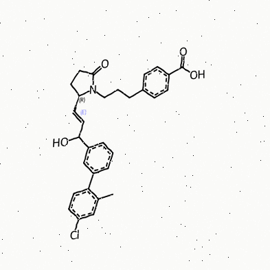 Cc1cc(Cl)ccc1-c1cccc(C(O)/C=C/[C@H]2CCC(=O)N2CCCc2ccc(C(=O)O)cc2)c1